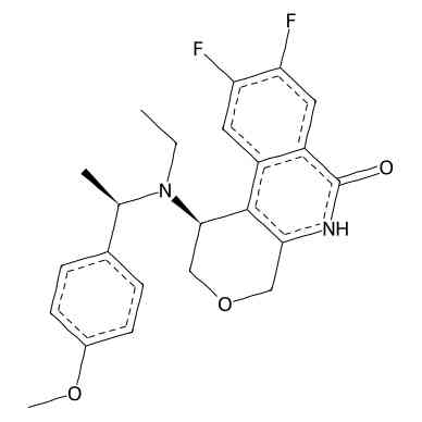 CCN([C@H](C)c1ccc(OC)cc1)[C@@H]1COCc2[nH]c(=O)c3cc(F)c(F)cc3c21